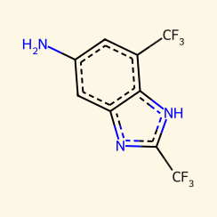 Nc1cc(C(F)(F)F)c2[nH]c(C(F)(F)F)nc2c1